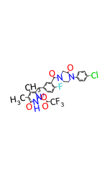 Cc1c(C)c(=O)[nH][n+](OC(=O)C(F)(F)F)c1Cc1ccc(F)c(C(=O)N2CCN(c3ccc(Cl)cc3)C(=O)C2)c1